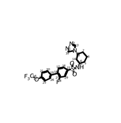 O=S(=O)(N[C@H]1CCC[C@@H](n2cnnc2)C1)c1ccc(-c2ccc(OC(F)(F)F)cc2)c(F)c1